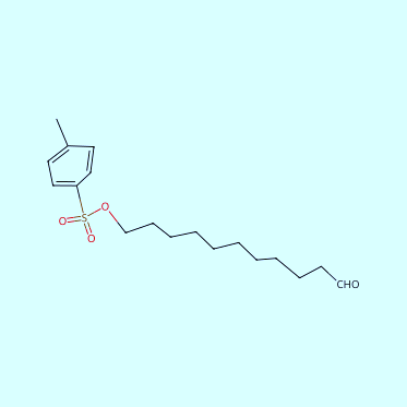 Cc1ccc(S(=O)(=O)OCCCCCCCCCCC=O)cc1